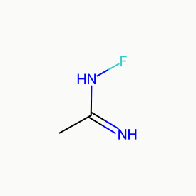 CC(=N)NF